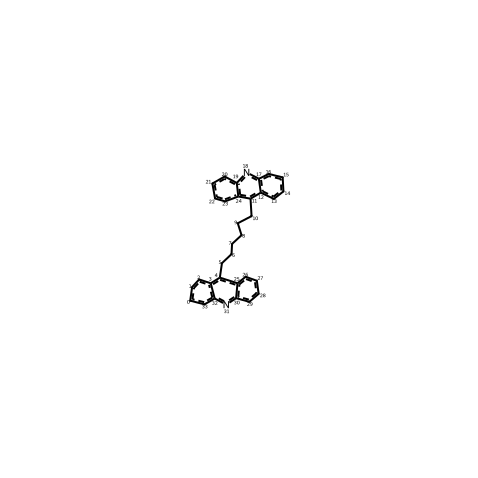 c1ccc2c(CCCCCCc3c4ccccc4nc4ccccc34)c3ccccc3nc2c1